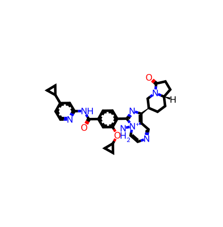 N[N+]12C=CN=CC1=C([C@@H]1CC[C@H]3CCC(=O)N3C1)N=C2c1ccc(C(=O)Nc2cc(C3CC3)ccn2)cc1OC1CC1